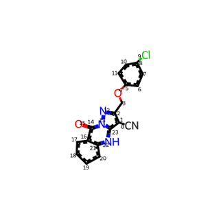 N#Cc1c(COc2ccc(Cl)cc2)nn2c(=O)c3ccccc3[nH]c12